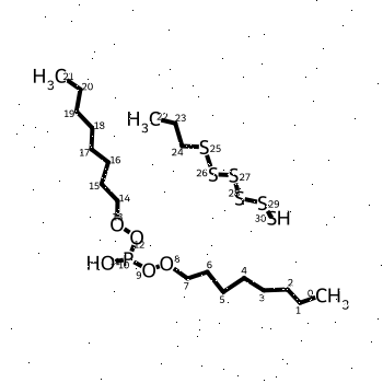 CCCCCCCCOOP(O)OOCCCCCCCC.CCCSSSSSS